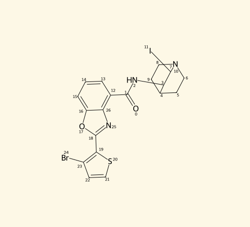 O=C(NC1C2CCN(CC2)C1I)c1cccc2oc(-c3sccc3Br)nc12